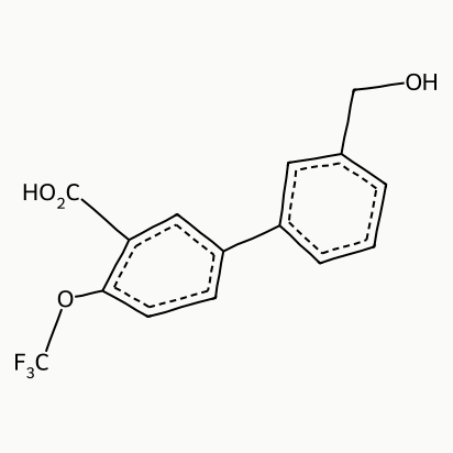 O=C(O)c1cc(-c2cccc(CO)c2)ccc1OC(F)(F)F